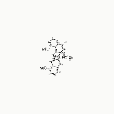 COC1=CCC=C2C(C)=NC(O)(OC)C(Cc3cnc4cccc(OC)c4c3)=C12.Cl.Cl